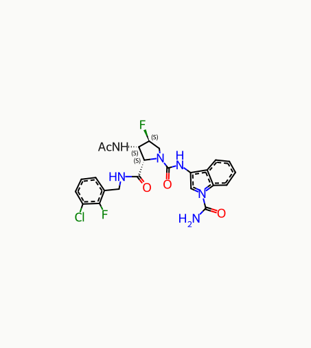 CC(=O)N[C@H]1[C@@H](C(=O)NCc2cccc(Cl)c2F)N(C(=O)Nc2cn(C(N)=O)c3ccccc23)C[C@@H]1F